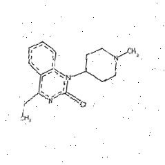 CCc1nc(=O)n(C2CCN(C)CC2)c2ccccc12